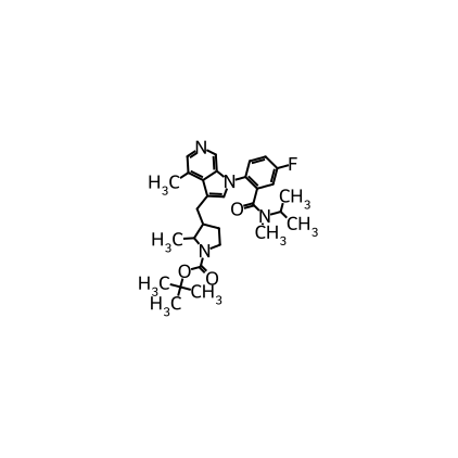 Cc1cncc2c1c(CC1CCN(C(=O)OC(C)(C)C)C1C)cn2-c1ccc(F)cc1C(=O)N(C)C(C)C